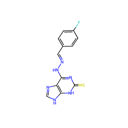 Fc1ccc(C=NNc2nc(=S)[nH]c3[nH]cnc23)cc1